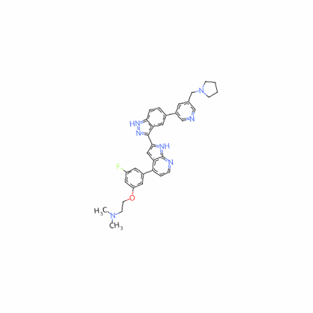 CN(C)CCOc1cc(F)cc(-c2ccnc3[nH]c(-c4n[nH]c5ccc(-c6cncc(CN7CCCC7)c6)cc45)cc23)c1